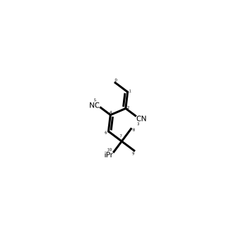 C/C=C(C#N)\C(C#N)=C/C(C)(C)C(C)C